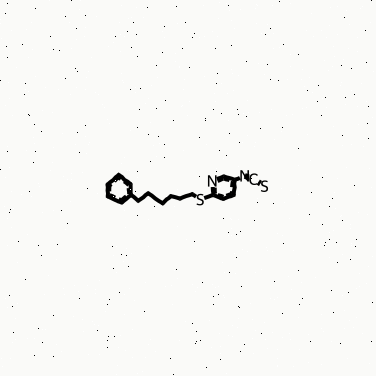 S=C=Nc1ccc(SCCCCCCc2ccccc2)nc1